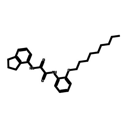 CCCCCCCCCOc1ccccc1NC(=O)C(=O)Nc1cccc2c1CCC2